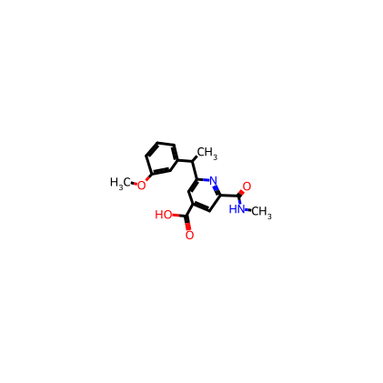 CNC(=O)c1cc(C(=O)O)cc(C(C)c2cccc(OC)c2)n1